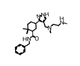 CNCCN(C)Cc1c[nH]nc1C1CCC(C)(C)C(C(=O)NCc2ccccc2)C1